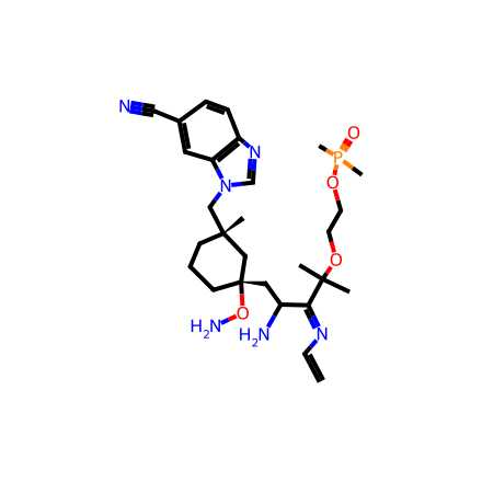 C=C/N=C(\C(N)C[C@@]1(ON)CCC[C@](C)(Cn2cnc3ccc(C#N)cc32)C1)C(C)(C)OCCOP(C)(C)=O